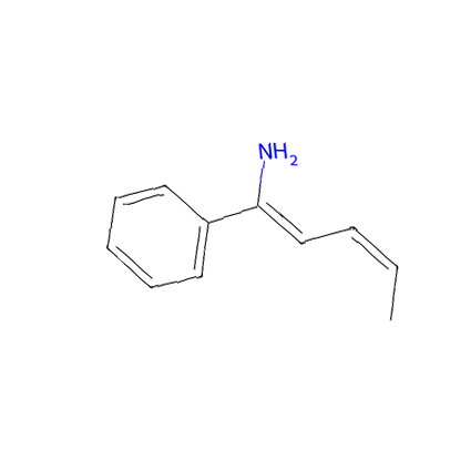 C/C=C\C=C(/N)c1ccccc1